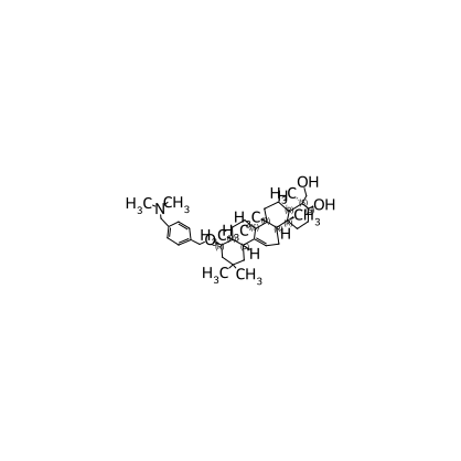 CN(C)Cc1ccc(CO[C@@H]2CC(C)(C)C[C@H]3C4=CC[C@@H]5[C@@]6(C)CC[C@H](O)[C@](C)(CO)[C@@H]6CC[C@@]5(C)[C@]4(C)CC[C@@]23C)cc1